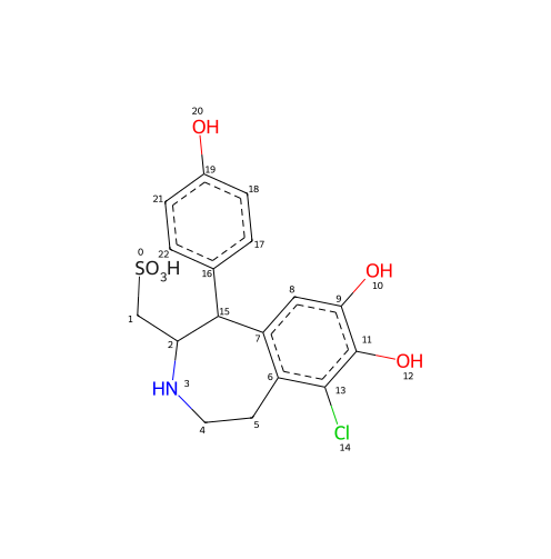 O=S(=O)(O)CC1NCCc2c(cc(O)c(O)c2Cl)C1c1ccc(O)cc1